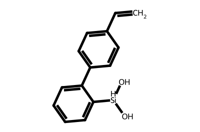 C=Cc1ccc(-c2ccccc2[SiH](O)O)cc1